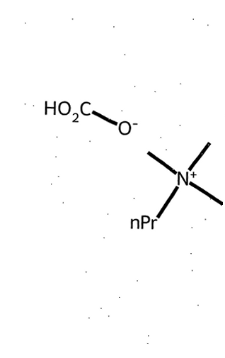 CCC[N+](C)(C)C.O=C([O-])O